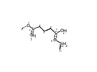 CO[SiH](O)CCC[SiH](O)O[SiH2]C